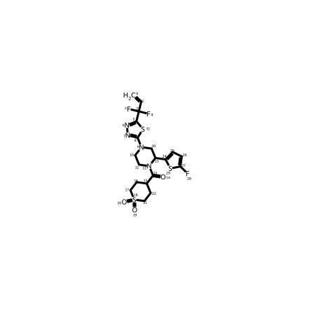 C=CC(F)(F)c1nnc(N2CCN(C(=O)C3CCS(=O)(=O)CC3)C(c3ccc(F)s3)C2)s1